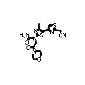 Cc1nc(N(CC(=O)N2CCOCC2)C(N)=O)sc1-c1csc(CC#N)n1